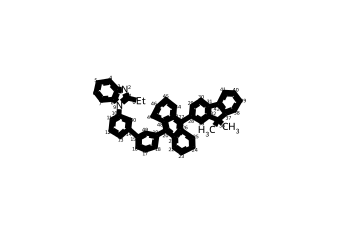 CCc1nc2ccccc2n1-c1cccc(-c2cccc(-c3c4ccccc4c(-c4ccc5c(c4)C(C)(C)c4ccccc4-5)c4ccccc34)c2)c1